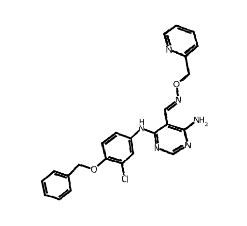 Nc1ncnc(Nc2ccc(OCc3ccccc3)c(Cl)c2)c1C=NOCc1ccccn1